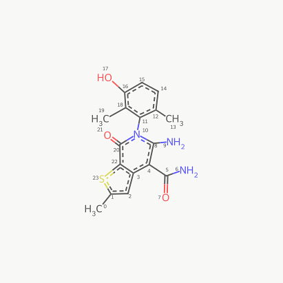 Cc1cc2c(C(N)=O)c(N)n(-c3c(C)ccc(O)c3C)c(=O)c2s1